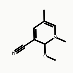 COC1C(C#N)=CC(C)=CN1C